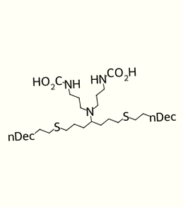 CCCCCCCCCCCCSCCCC(CCCSCCCCCCCCCCCC)N(CCCNC(=O)O)CCCNC(=O)O